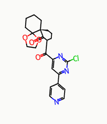 O=C(c1cc(-c2ccncc2)nc(Cl)n1)C1CCC[C@@]2(CCCCC23OCCO3)C1=O